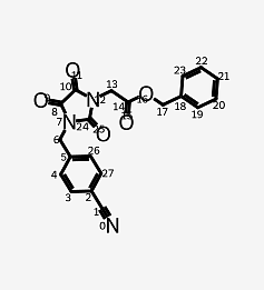 N#Cc1ccc(CN2C(=O)C(=O)N(CC(=O)OCc3ccccc3)C2=O)cc1